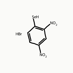 Br.O=[N+]([O-])c1ccc([SeH])c([N+](=O)[O-])c1